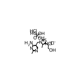 Cc1ncc(C[n+]2csc(CCO)c2C)c(N)n1.Cl.Cl.O=P(O)(O)O.[Cl-]